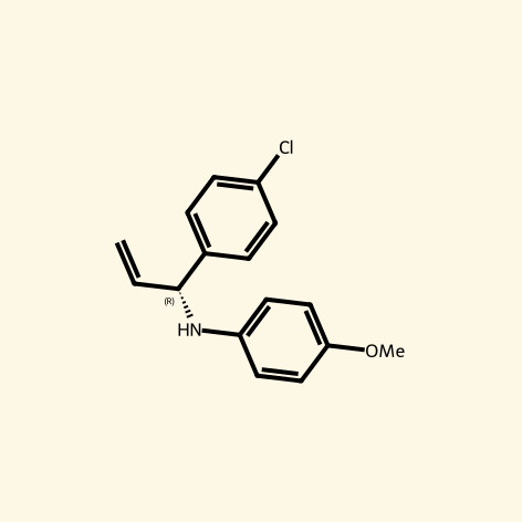 C=C[C@@H](Nc1ccc(OC)cc1)c1ccc(Cl)cc1